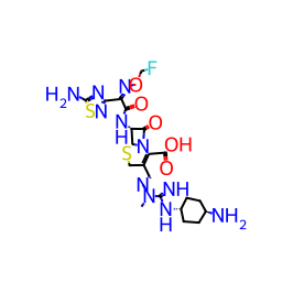 CN(/N=C/C1=C(C(=O)O)N2C(=O)[C@@H](NC(=O)/C(=N\OCF)c3nsc(N)n3)C2SC1)C(=N)N[C@H]1CC[C@H](N)CC1